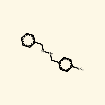 O=[N+]([O-])c1ccc(C[Se][Se]Cc2ccccc2)cc1